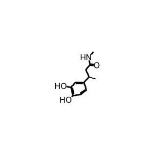 CNC(=O)C[C@@H](C)c1ccc(O)c(O)c1